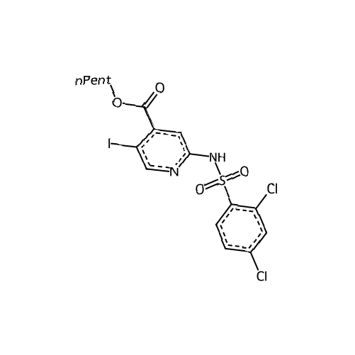 CCCCCOC(=O)c1cc(NS(=O)(=O)c2ccc(Cl)cc2Cl)ncc1I